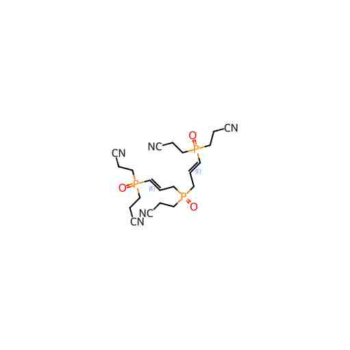 N#CCCP(=O)(/C=C/CP(=O)(C/C=C/P(=O)(CCC#N)CCC#N)CCC#N)CCC#N